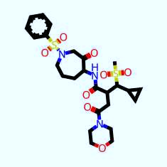 CS(=O)(=O)C(C1CC1)C(CC(=O)N1CCOCC1)C(=O)NC1CCCN(S(=O)(=O)c2ccccc2)CC1=O